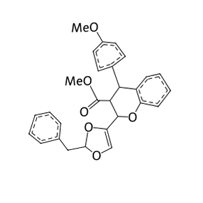 COC(=O)C1C(C2=COC(Cc3ccccc3)O2)Oc2ccccc2C1c1ccc(OC)cc1